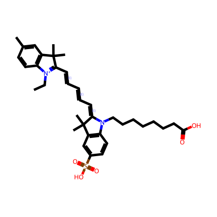 CC[N+]1=C(/C=C/C=C/C=C2/N(CCCCCCCC(=O)O)c3ccc(S(=O)(=O)O)cc3C2(C)C)C(C)(C)c2cc(C)ccc21